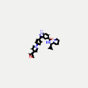 O=C(N[C@H](c1ccccn1)C1CC1)c1ccc2[nH]nc(-c3ccc(N4CCC(C5COC5)CC4)cc3)c2c1